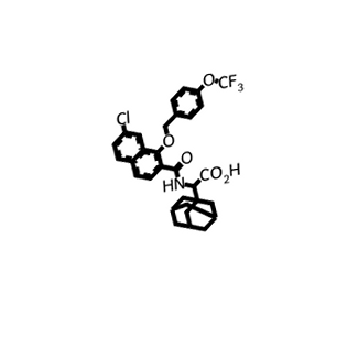 O=C(NC(C(=O)O)C12CC3CC(CC(C3)C1)C2)c1ccc2ccc(Cl)cc2c1OCc1ccc(OC(F)(F)F)cc1